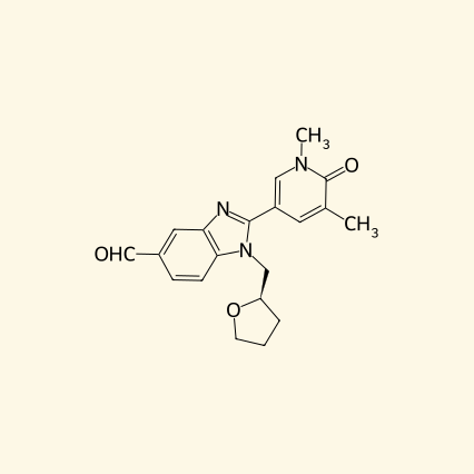 Cc1cc(-c2nc3cc(C=O)ccc3n2C[C@H]2CCCO2)cn(C)c1=O